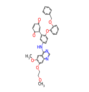 COCCOc1cc2ncnc(Nc3ccc(Oc4ccccc4OCc4ccccc4)c(C4=CC(=O)C=CC4=O)c3)c2cc1OC